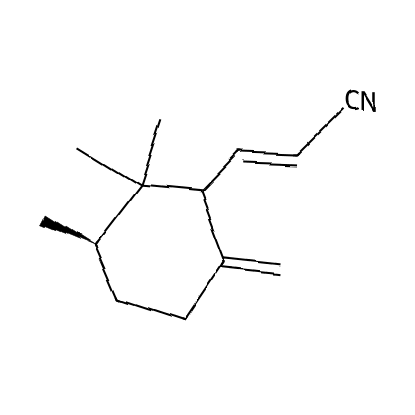 C=C1CC[C@@H](C)C(C)(C)C1C=CC#N